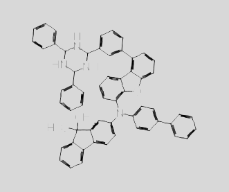 CC1(C)c2ccccc2-c2ccc(N(c3ccc(-c4ccccc4)cc3)c3cccc4c3oc3cccc(-c5cccc(C6NC(c7ccccc7)NC(c7ccccc7)N6)c5)c34)cc21